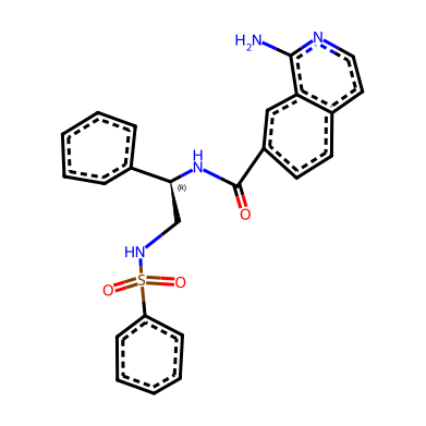 Nc1nccc2ccc(C(=O)N[C@@H](CNS(=O)(=O)c3ccccc3)c3ccccc3)cc12